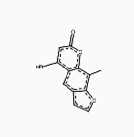 CCCc1cc(=O)oc2c(C)c3occc3cc12